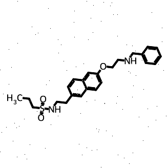 CCCS(=O)(=O)NCCc1ccc2cc(OCCNCc3ccccc3)ccc2c1